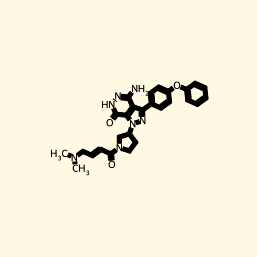 CN(C)C/C=C/C(=O)N1CCC(n2nc(-c3ccc(Oc4ccccc4)cc3)c3c(N)n[nH]c(=O)c32)C1